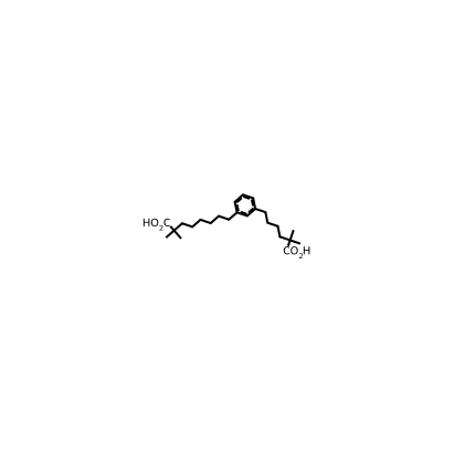 CC(C)(CCCCCCc1cccc(CCCCC(C)(C)C(=O)O)c1)C(=O)O